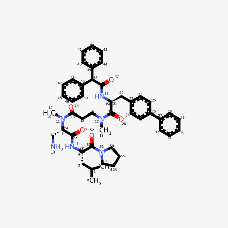 CC(C)C[C@H](NC(=O)[C@H](CN)N(C)C(=O)CCN(C)C(=O)[C@H](Cc1ccc(-c2ccccc2)cc1)NC(=O)C(c1ccccc1)c1ccccc1)C(=O)N1CCCC1